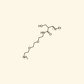 CC/N=C/C(CO)C(=O)NCCOCCOCCN